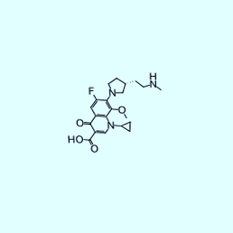 CNCC[C@H]1CCN(c2c(F)cc3c(=O)c(C(=O)O)cn(C4CC4)c3c2OC)C1